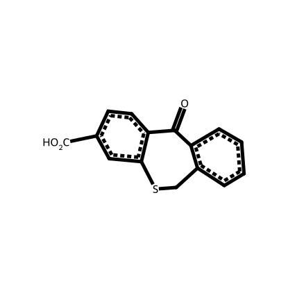 O=C(O)c1ccc2c(c1)SCc1ccccc1C2=O